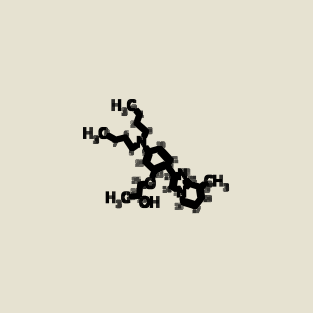 CCCCN(CCCC)c1ccc(-c2cn3cccc(C)c3n2)c(OCC(C)O)c1